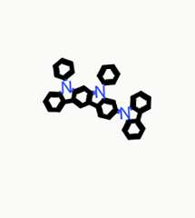 c1ccc(-n2c3ccccc3c3cc4c5ccc(-n6c7ccccc7c7ccccc76)cc5n(-c5ccccc5)c4cc32)cc1